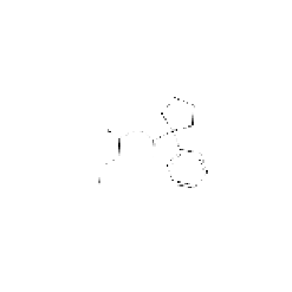 O=C(O)CC[C@H](NC(=O)C1(c2ccccc2)CCCC1)C(=O)O